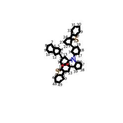 c1cc(-c2ccc3ccccc3c2)cc(N(c2cccc(-c3cccc4c3sc3ccccc34)c2)c2ccccc2-c2ccc3sc4ccccc4c3c2)c1